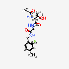 Cc1ccc(CNC(=O)CNC(=O)[C@@H](NC(=O)C(C)C)[C@@H](C)O)c(F)c1